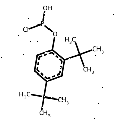 CC(C)(C)c1ccc(OP(O)Cl)c(C(C)(C)C)c1